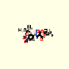 CC(C)Oc1cc(NC=C2C(=O)OC(C)(C)OC2=O)ccc1[N+](=O)[O-]